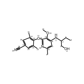 CCC(CO)Nc1cc(C)nc(Oc2c(C)cc(C#N)cc2C)c1OC